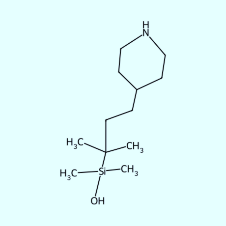 CC(C)(CCC1CCNCC1)[Si](C)(C)O